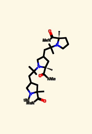 CNC(=O)C1(C)CC(CC(C)(C)N2CC(CC(C)(C)N3CCC[C@]3(C)C(=O)NC)C[C@@]2(C)C(=O)NC)CN1C(C)(C)C